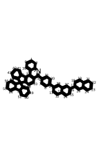 C1=CCC2N=C(c3ccc(-c4ccc5ccc(-c6ccc7ccccc7c6)cc5c4)cc3)c3ccc4c(c3C2=C1)-c1ccccc1C41c2ccccc2-c2ccccc21